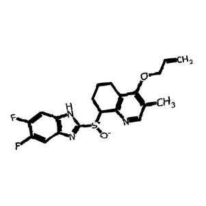 C=CCOc1c(C)cnc2c1CCCC2[S+]([O-])c1nc2cc(F)c(F)cc2[nH]1